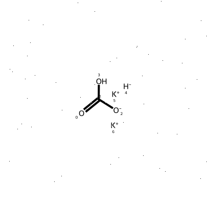 O=C([O-])O.[H-].[K+].[K+]